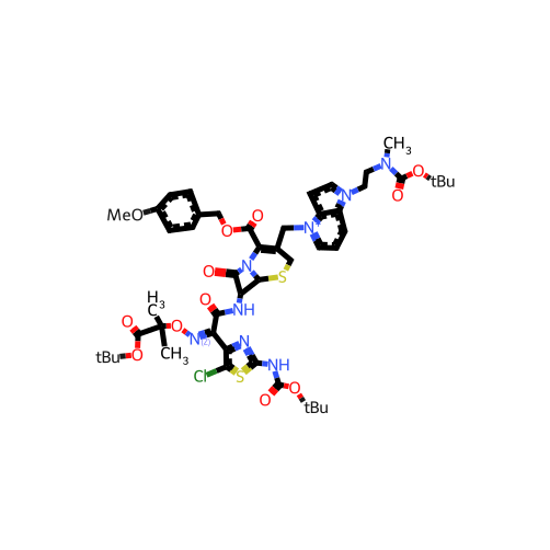 COc1ccc(COC(=O)C2=C(C[n+]3cccc4c3ccn4CCN(C)C(=O)OC(C)(C)C)CSC3C(NC(=O)/C(=N\OC(C)(C)C(=O)OC(C)(C)C)c4nc(NC(=O)OC(C)(C)C)sc4Cl)C(=O)N23)cc1